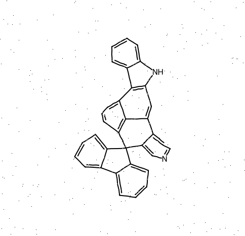 c1ccc2c(c1)-c1ccccc1C21c2cnccc2-c2cc3[nH]c4ccccc4c3c3cccc1c23